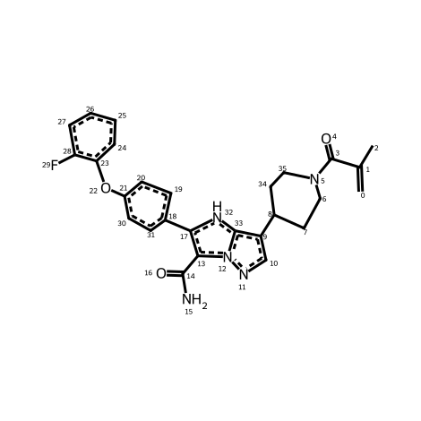 C=C(C)C(=O)N1CCC(c2cnn3c(C(N)=O)c(-c4ccc(Oc5ccccc5F)cc4)[nH]c23)CC1